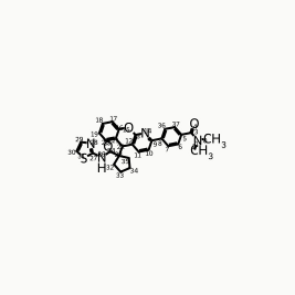 CN(C)C(=O)c1ccc(-c2ccc3c(n2)Oc2ccccc2C3C2(C(=O)Nc3nccs3)CCCC2)cc1